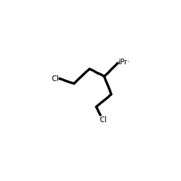 C[C](C)C(CCCl)CCCl